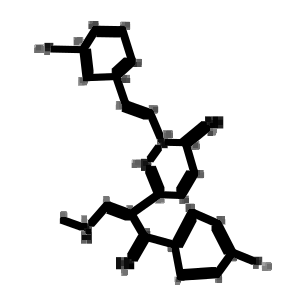 CN/C=C(\C(=N)c1ccc(F)cc1)c1ccc(=N)n(/C=C/c2cccc(F)c2)n1